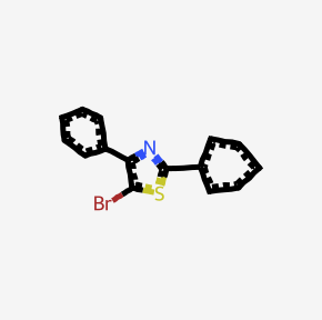 Brc1sc(-c2ccccc2)nc1-c1ccccc1